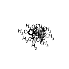 C[Si](C)(C)O[Si](C)(C)O[Si](C)(C)C.Cc1cc(C(C)(C)C)c(O)c(C(C)(C)C)c1